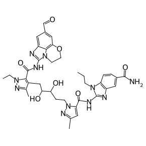 CCCn1c(NC(=O)c2cc(C)nn2CCC(O)C(O)Cc2c(C)nn(CC)c2C(=O)Nc2nc3cc(C=O)cc4c3n2CCO4)nc2cc(C(N)=O)ccc21